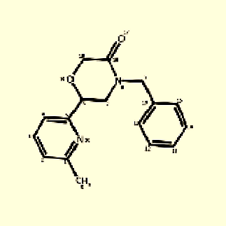 Cc1cccc(C2CN(Cc3ccccc3)C(=O)CO2)n1